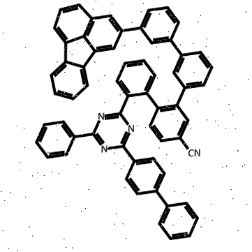 N#Cc1ccc(-c2ccccc2-c2nc(-c3ccccc3)nc(-c3ccc(-c4ccccc4)cc3)n2)c(-c2cccc(-c3cccc(-c4cc5c6c(cccc6c4)-c4ccccc4-5)c3)c2)c1